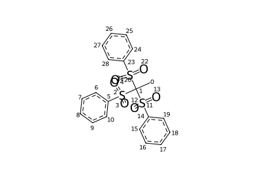 CC(S(=O)(=O)c1ccccc1)(S(=O)(=O)c1ccccc1)S(=O)(=O)c1ccccc1